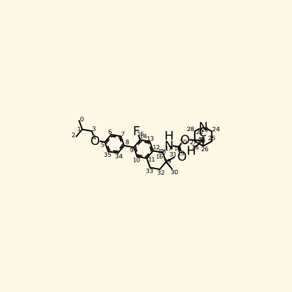 CC(C)COc1ccc(-c2cc3c(cc2F)[C@H](NC(=O)O[C@@H]2CN4CCC2CC4)C(C)(C)CC3)cc1